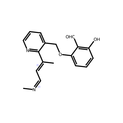 C/N=C\C=C(/C)c1ncccc1COc1cccc(O)c1C=O